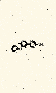 Cc1ccc(-c2cnc(N)cn2)c(F)c1Oc1ncccn1